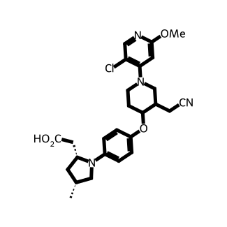 COc1cc(N2CCC(Oc3ccc(N4C[C@H](C)C[C@@H]4CC(=O)O)cc3)C(CC#N)C2)c(Cl)cn1